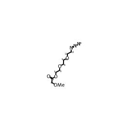 COCC(=O)OCCOCCOCCN=[N+]=[N-]